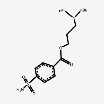 CCCCN(CCC)CCCOC(=O)c1ccc(S(N)(=O)=O)cc1